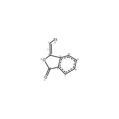 CC/[C]=C1/OC(=O)c2ccccc21